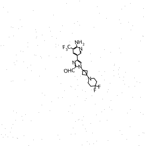 Nc1ncc(-c2cn(C34CC(N5CCC(F)(F)CC5)(C3)C4)c(C=O)n2)cc1C(F)(F)F